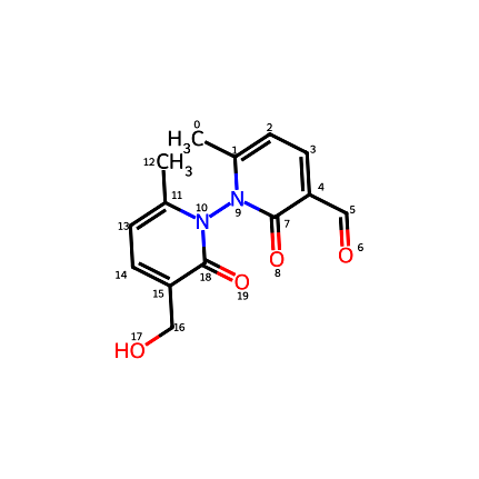 Cc1ccc(C=O)c(=O)n1-n1c(C)ccc(CO)c1=O